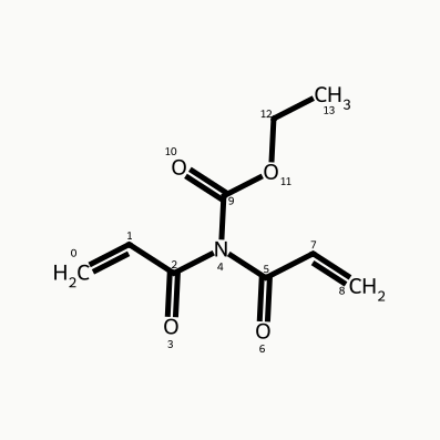 C=CC(=O)N(C(=O)C=C)C(=O)OCC